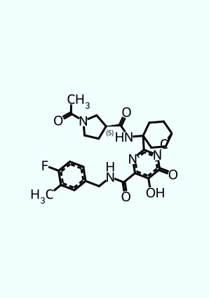 CC(=O)N1CC[C@H](C(=O)NC23CCC(CC2)Cn2c3nc(C(=O)NCc3ccc(F)c(C)c3)c(O)c2=O)C1